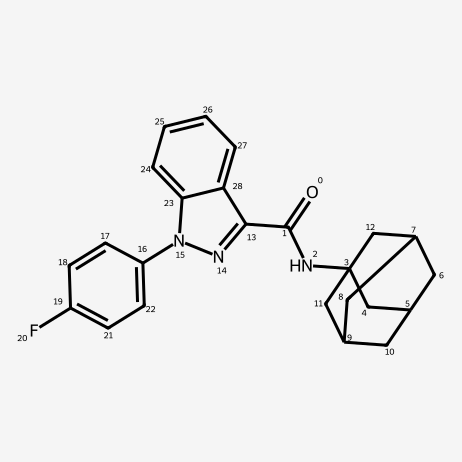 O=C(NC12CC3CC(CC(C3)C1)C2)c1nn(-c2ccc(F)cc2)c2ccccc12